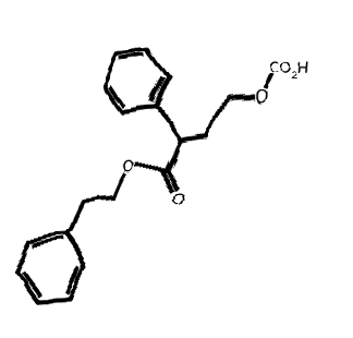 O=C(O)OCCC(C(=O)OCCc1ccccc1)c1ccccc1